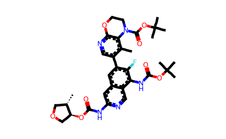 Cc1c(-c2cc3cc(NC(=O)O[C@H]4COC[C@@H]4C)ncc3c(NC(=O)OC(C)(C)C)c2F)cnc2c1N(C(=O)OC(C)(C)C)CCO2